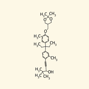 CCC(CC)(c1ccc(C#CC(O)C(C)(C)C)c(C)c1)c1ccc(OCC2COC(C)(C)OC2)c(C)c1